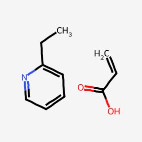 C=CC(=O)O.CCc1ccccn1